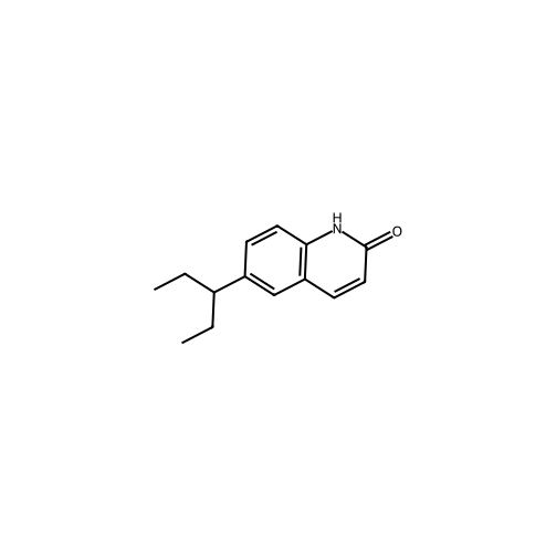 CCC(CC)c1ccc2[nH]c(=O)ccc2c1